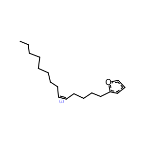 CCCCCCCC/C=C\CCCCc1ccco1